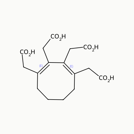 O=C(O)C/C1=C(CC(=O)O)/C(CC(=O)O)=C(/CC(=O)O)CCCC1